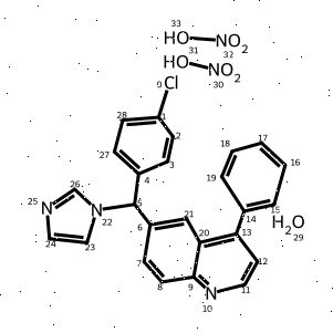 Clc1ccc(C(c2ccc3nccc(-c4ccccc4)c3c2)n2ccnc2)cc1.O.O=[N+]([O-])O.O=[N+]([O-])O